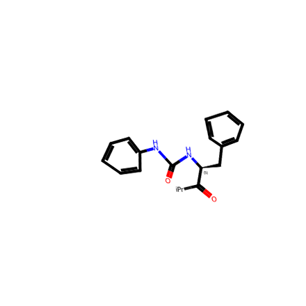 CC(C)C(=O)[C@H](Cc1ccccc1)NC(=O)Nc1ccccc1